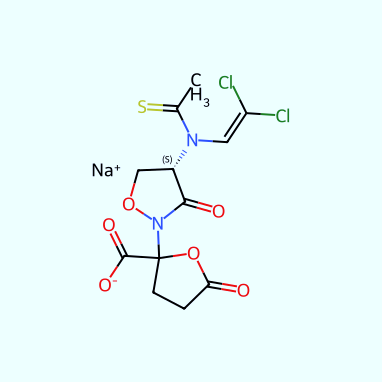 CC(=S)N(C=C(Cl)Cl)[C@H]1CON(C2(C(=O)[O-])CCC(=O)O2)C1=O.[Na+]